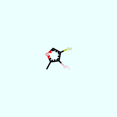 Bc1c(S)coc1C